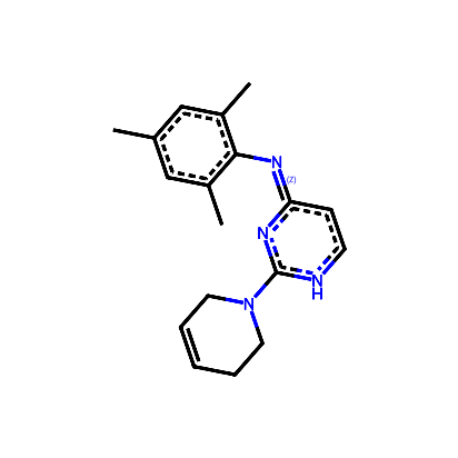 Cc1cc(C)c(/N=c2/cc[nH]c(N3CC=CCC3)n2)c(C)c1